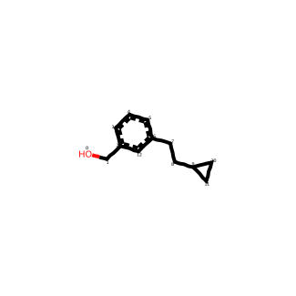 OCc1cccc(CCC2CC2)c1